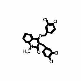 Cn1c(=O)c(Cc2ccc(Cl)c(Cl)c2)c(OCc2ccc(Cl)c(Cl)c2)c2ccccc21